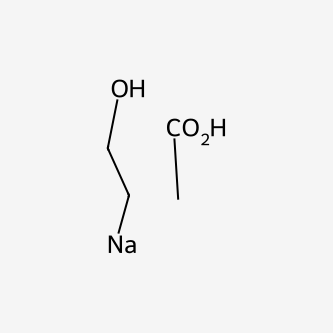 CC(=O)O.OC[CH2][Na]